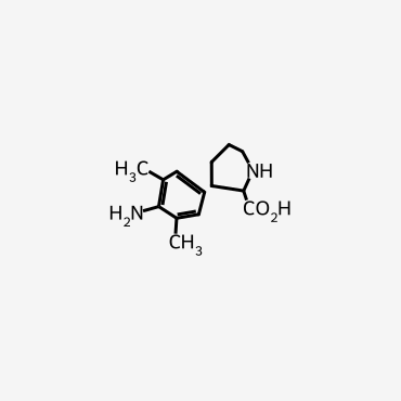 Cc1cccc(C)c1N.O=C(O)C1CCCCN1